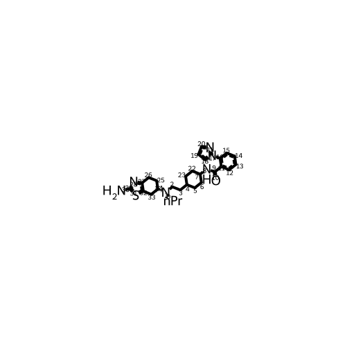 CCCN(CCC1CCC(NC(=O)c2ccccc2-n2cccn2)CC1)[C@H]1CCc2nc(N)sc2C1